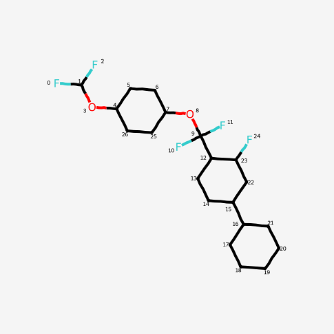 FC(F)OC1CCC(OC(F)(F)C2CCC(C3CCCCC3)CC2F)CC1